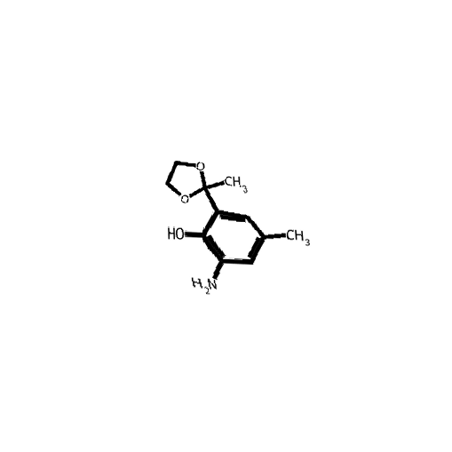 Cc1cc(N)c(O)c(C2(C)OCCO2)c1